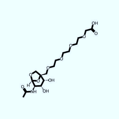 CC(=O)N[C@H]1[C@H]2OC[C@@](COCCOCCOCCOCC(=O)O)(O2)[C@H](O)[C@@H]1O